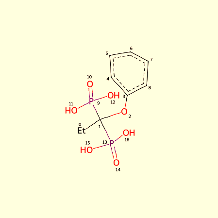 CCC(Oc1ccccc1)(P(=O)(O)O)P(=O)(O)O